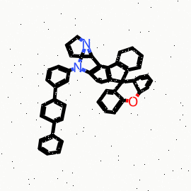 C1=CC2Oc3ccccc3C3(C4=C(CCC=C4)c4c3ccc3c4C4N5CC=CC45N3c3cccc(-c4ccc(-c5ccccc5)cc4)c3)C2C=C1